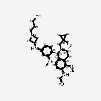 COc1cc(NC2CN(CCCF)C2)ccc1[C@@H]1c2ccc(NC=O)c(OC)c2C[C@@H](C)N1CC1(F)CC1